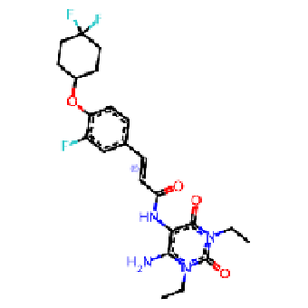 CCn1c(N)c(NC(=O)/C=C/c2ccc(OC3CCC(F)(F)CC3)c(F)c2)c(=O)n(CC)c1=O